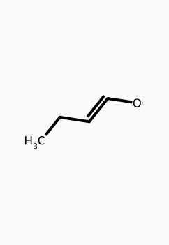 CCC=C[O]